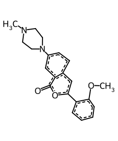 COc1ccccc1-c1cc2ccc(N3CCN(C)CC3)cc2c(=O)o1